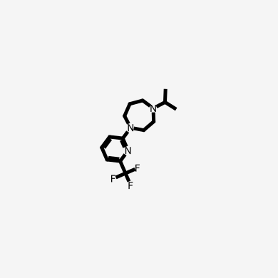 CC(C)N1CCCN(c2cccc(C(F)(F)F)n2)CC1